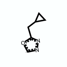 [c]1nnc(CC2CC2)o1